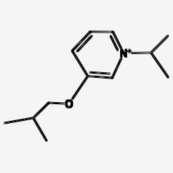 CC(C)COc1ccc[n+](C(C)C)c1